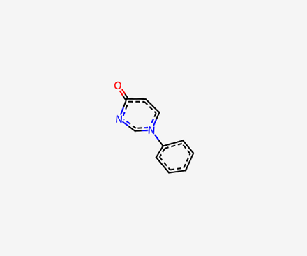 O=c1ccn(-c2ccccc2)cn1